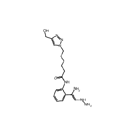 NN/C=C(\N)c1ccccc1NC(=O)CCCCCn1cc(CO)nn1